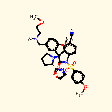 COCCN(C)Cc1ccc(OC)c(C2(N3CCC[C@H]3c3ncco3)C(=O)N(S(=O)(=O)c3ccc(OC)cc3)c3ccc(C#N)cc32)c1